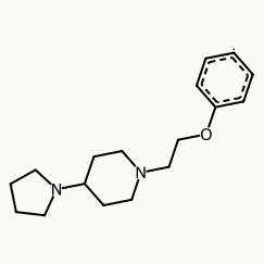 [c]1ccc(OCCN2CCC(N3CCCC3)CC2)cc1